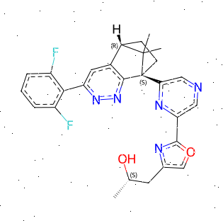 C[C@H](O)Cc1coc(-c2cncc([C@@]34CC[C@@H](c5cc(-c6c(F)cccc6F)nnc53)C4(C)C)n2)n1